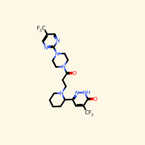 O=C(CCN1CCCCC1c1cc(C(F)(F)F)c(=O)[nH]n1)N1CCN(c2ncc(C(F)(F)F)cn2)CC1